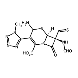 Cn1nnnc1C1=C(C(=O)O)N2C(=O)[C@](C=S)(NC=O)[C@@H]2SC1N